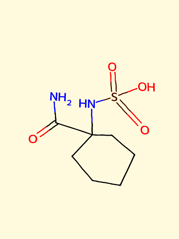 NC(=O)C1(NS(=O)(=O)O)CCCCC1